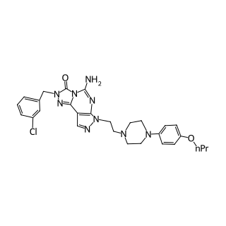 CCCOc1ccc(N2CCN(CCn3ncc4c3nc(N)n3c(=O)n(Cc5cccc(Cl)c5)nc43)CC2)cc1